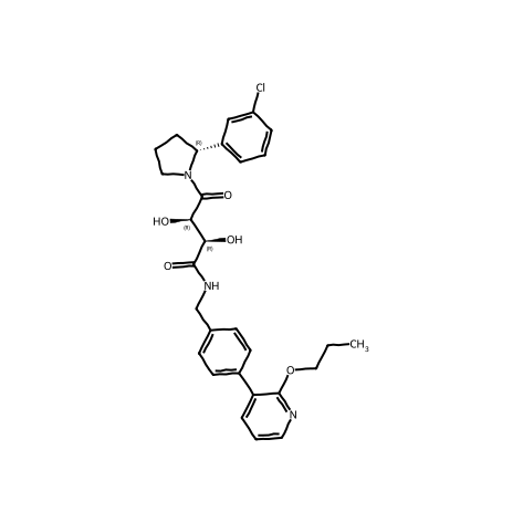 CCCOc1ncccc1-c1ccc(CNC(=O)[C@H](O)[C@@H](O)C(=O)N2CCC[C@@H]2c2cccc(Cl)c2)cc1